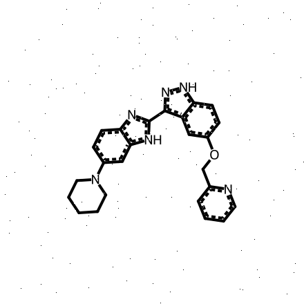 c1ccc(COc2ccc3[nH]nc(-c4nc5ccc(N6CCCCC6)cc5[nH]4)c3c2)nc1